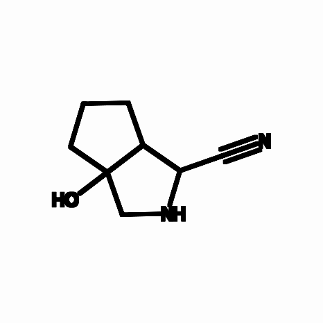 N#CC1NCC2(O)CCCC12